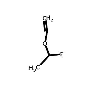 C=COC(C)F